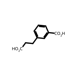 O=C(O)CCc1cccc(C(=O)O)c1